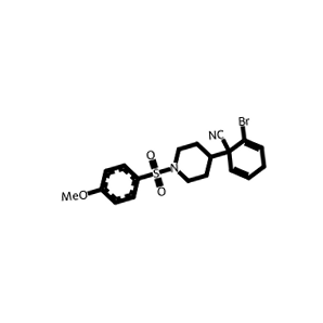 COc1ccc(S(=O)(=O)N2CCC(C3(C#N)C=CCC=C3Br)CC2)cc1